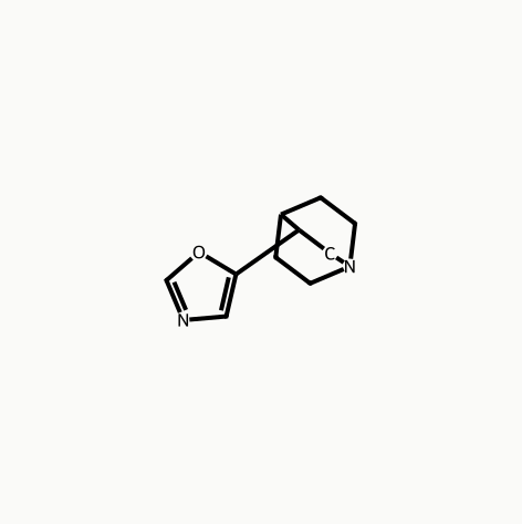 c1ncc(C2CN3CCC2CC3)o1